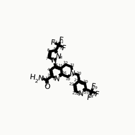 NC(=O)c1cc(-n2ccc(C(F)(F)F)n2)c2c(n1)CN(Cc1ccnc(C(F)(F)F)c1)CC2